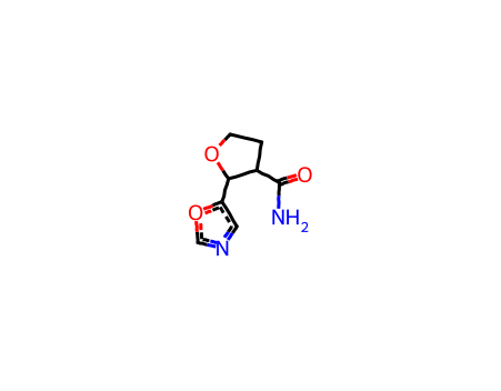 NC(=O)C1CCOC1c1cnco1